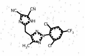 Cc1nn(-c2c(Cl)cc(C(F)(F)F)cc2Cl)nc1Cc1nc(C#N)c(C#N)[nH]1